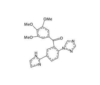 COc1cc(C(=O)c2cc(-c3ncc[nH]3)ccc2-n2cncn2)cc(OC)c1OC